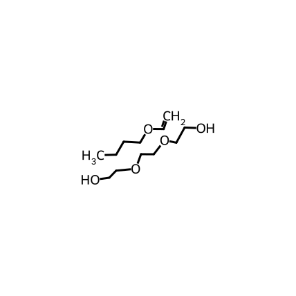 C=COCCCC.OCCOCCOCCO